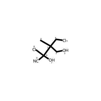 CC(CO)(CCl)C(O)(Cl)C#N